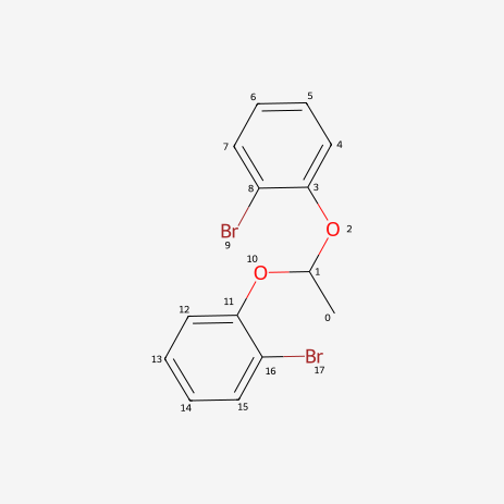 CC(Oc1ccccc1Br)Oc1ccccc1Br